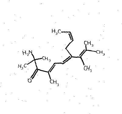 C/C=C\C/C(=C\C=C(/C)C(=O)C(C)(C)N)C(C)=C(C)C